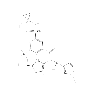 [2H]C([2H])(c1cnn(C)c1)N1C(=O)c2cc(S(=O)(=O)NC3(C)CC3)cc(C(F)(F)F)c2N2C1=NC[C@H]2C